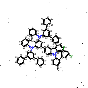 Fc1cc(F)cc(-c2cc(C(F)(F)F)ccc2-n2c3ccccc3c3cc(-c4cc5c6c(c4)N(c4cc(-c7ccccc7)cc(-c7ccccc7)c4)c4ccccc4B6c4ccccc4N5c4cc(-c5ccccc5)cc(-c5ccccc5)c4)ccc32)c1